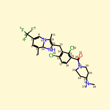 CC1=CC(C(F)(F)F)=CN2C(C)=C(Cc3c(Cl)ccc(C(=O)N4CCC(N(C)C)CC4)c3Cl)NC12